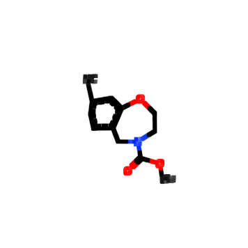 [C-]#[N+]c1ccc2c(c1)OCCN(C(=O)OC(C)(C)C)C2